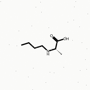 CCCCN[C@@H](C)C(=O)O